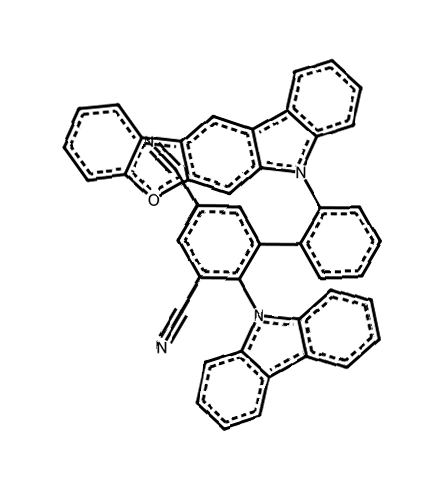 N#Cc1cc(C#N)c(-n2c3ccccc3c3ccccc32)c(-c2ccccc2-n2c3ccccc3c3cc4c(cc32)oc2ccccc24)c1